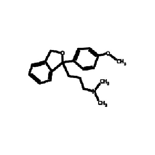 COc1ccc(C2(CCCN(C)C)OCc3ccccc32)cc1